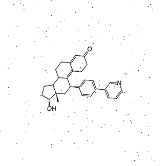 C[C@]12C[C@H](c3ccc(-c4cccnc4)cc3)C3=C4CCC(=O)C=C4CCC3C1CC[C@@H]2O